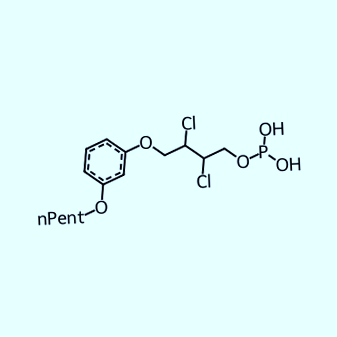 CCCCCOc1cccc(OCC(Cl)C(Cl)COP(O)O)c1